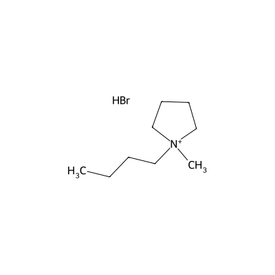 Br.CCCC[N+]1(C)CCCC1